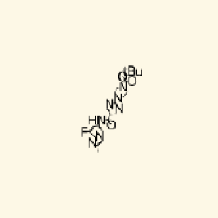 Cc1cn2cc(NC(=O)c3cnc(N4CCN(C(=O)OC(C)(C)C)CC4)nc3)cc(F)c2n1